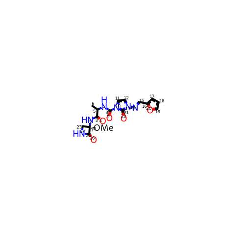 CO[C@@]1(NC(=O)C(C)NC(=O)n2ccn(N=Cc3ccco3)c2=O)CNC1=O